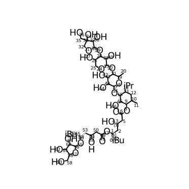 CC[C@H](C)[C@H](C[C@H](O)CC(=O)OC1C(C)CC(C(C)C)C(OC2OC(C)C(OC3OCC(O)C(OC4OCC(O)(CO)C4O)C3O)C(O)C2O)C1O)OC(=O)C[C@@H](O)C[C@H](OC1OC(CO)C(O)C1O)[C@@H](C)CC